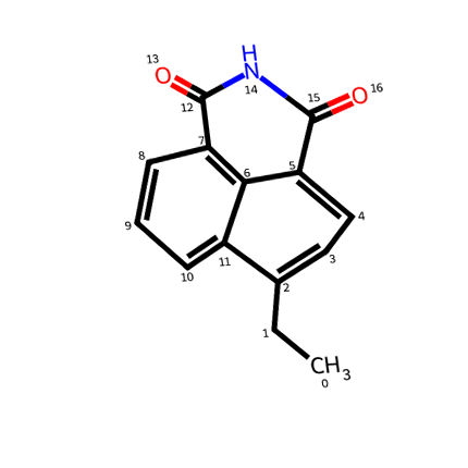 CCc1ccc2c3c(cccc13)C(=O)NC2=O